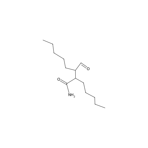 CCCCCC(C=O)C(CCCCC)C(N)=O